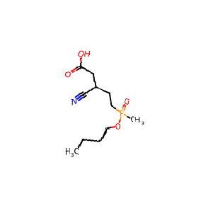 CCCCOP(C)(=O)CCC(C#N)CC(=O)O